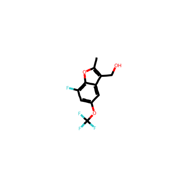 Cc1oc2c(F)cc(OC(F)(F)F)cc2c1CO